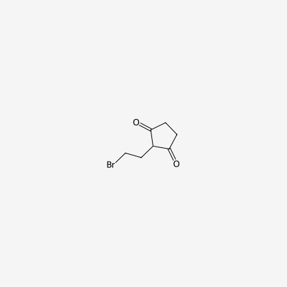 O=C1CCC(=O)C1CCBr